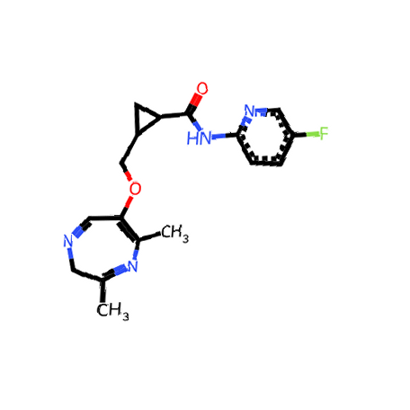 CC1=NC(C)=C(OCC2CC2C(=O)Nc2ccc(F)cn2)C=NC1